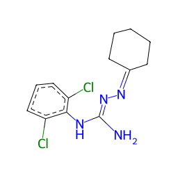 N/C(=N\N=C1CCCCC1)Nc1c(Cl)cccc1Cl